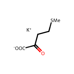 CSCCC(=O)C(=O)[O-].[K+]